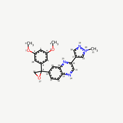 COc1cc(OC)cc(C2(c3ccc4ncc(-c5cnn(C)c5)nc4c3)CO2)c1